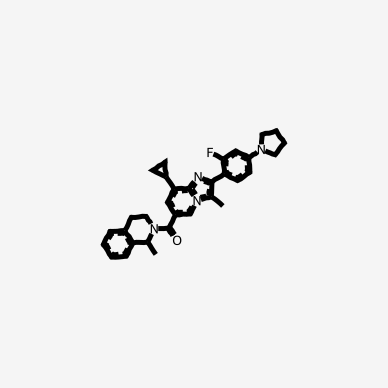 Cc1c(-c2ccc(N3CCCC3)cc2F)nc2c(C3CC3)cc(C(=O)N3CCc4ccccc4C3C)cn12